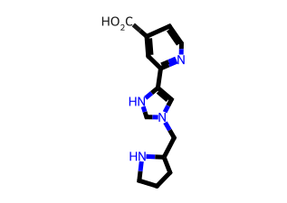 O=C(O)c1ccnc(C2=CN(CC3CCCN3)CN2)c1